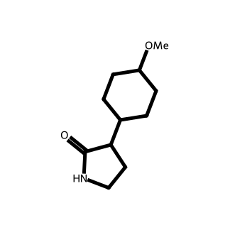 COC1CCC(C2CCNC2=O)CC1